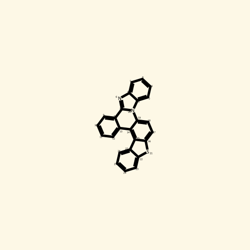 c1ccc2c(c1)nc1c3ccccc3c3c4c(ccc3n21)sc1ccccc14